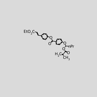 C=C(C)C(=O)OC(CCC)Oc1ccc(C(=O)Oc2ccc(/C=C/C(=O)OCC)cc2)cc1